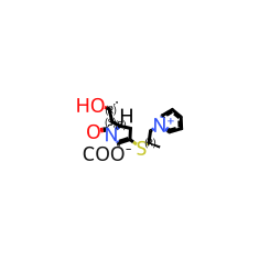 C[C@H](C[n+]1ccccc1)SC1=C(C(=O)[O-])N2C(=O)[C@H]([C@@H](C)O)[C@H]2C1